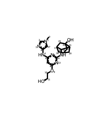 Cn1cnc(Nc2cc(OCCO)nc(NC3C4CC5CC3C(O)(C5)C4)n2)c1